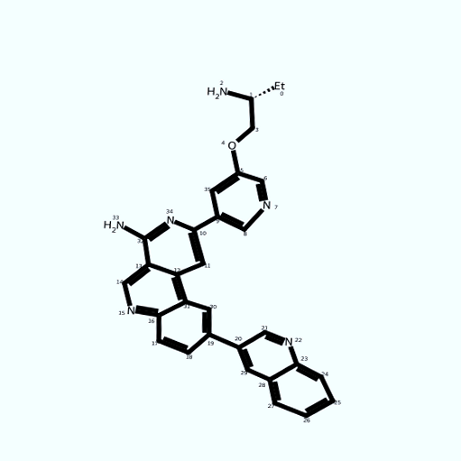 CC[C@@H](N)COc1cncc(-c2cc3c(cnc4ccc(-c5cnc6ccccc6c5)cc43)c(N)n2)c1